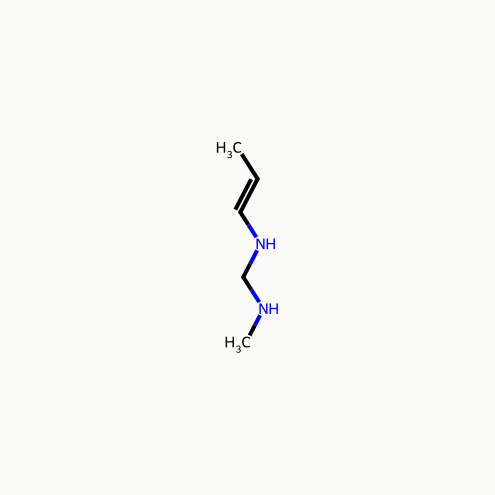 CC=CNCNC